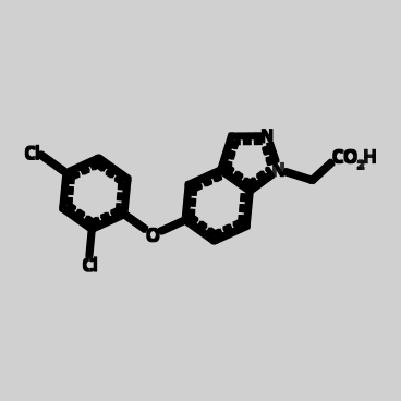 O=C(O)Cn1ncc2cc(Oc3ccc(Cl)cc3Cl)ccc21